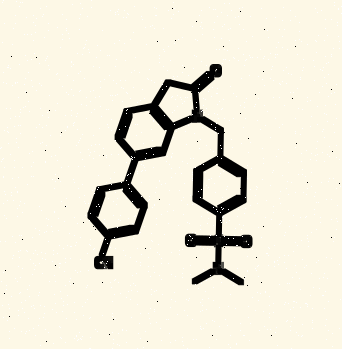 CN(C)S(=O)(=O)c1ccc(CN2C(=O)Cc3ccc(-c4ccc(C#N)cc4)cc32)cc1